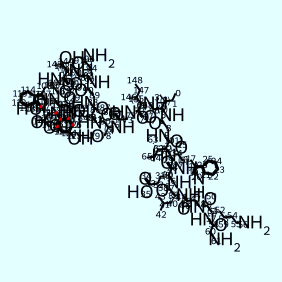 CC[C@H](C)[C@H](NC(=O)CNC(=O)[C@@H](NC(=O)[C@H](Cc1c[nH]c2ccccc12)NC(=O)[C@H](CCC(=O)O)NC(=O)[C@H](CC(C)C)NC(=O)CNC(=O)[C@H](CCCCN)NC(=O)CN)[C@@H](C)CC)C(=O)N[C@H](C(=O)NCC(=O)N[C@@H](CO)C(=O)N[C@@H](CO)C(=O)NCC(=O)N[C@@H](CC(N)=O)C(=O)N[C@H](C(=O)N[C@@H](Cc1c[nH]c2ccccc12)C(=O)N[C@@H](Cc1ccc(O)cc1)C(=O)N[C@@H](C)C(=O)N[C@@H](CO)C(=O)O)[C@@H](C)O)[C@@H](C)CC